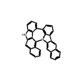 c1ccc2cc3c(cc2c1)c1cccc2c4cccc5[nH]c6cc7ccccc7c(c6c54)n3c21